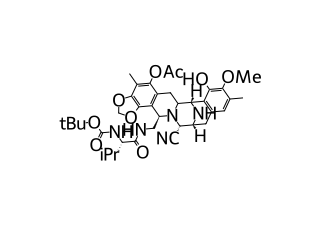 COc1c(C)cc2c(c1O)[C@@H]1N[C@H](C2)[C@H](C#N)N2C1Cc1c(OC(C)=O)c(C)c3c(c1[C@@H]2CNC(=O)[C@@H](NC(=O)OC(C)(C)C)C(C)C)OCO3